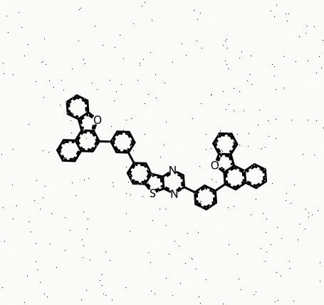 c1cc(-c2ccc3sc4nc(-c5cccc(-c6cc7ccccc7c7c6oc6ccccc67)c5)cnc4c3c2)cc(-c2cc3ccccc3c3c2oc2ccccc23)c1